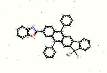 CC1(C)c2ccccc2-c2cc3c(-c4ccccc4)c4ccc(-c5nc6ccccc6o5)cc4c(-c4ccccc4)c3cc21